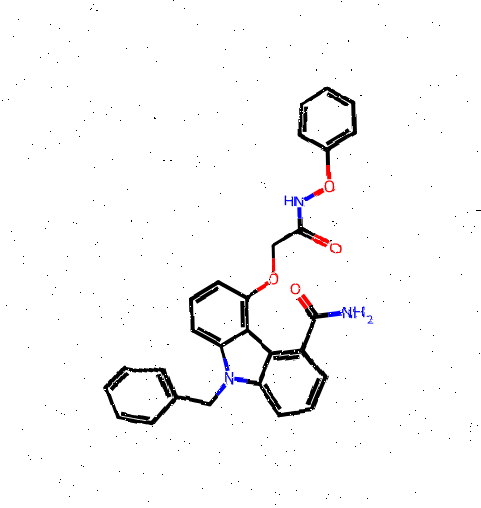 NC(=O)c1cccc2c1c1c(OCC(=O)NOc3ccccc3)cccc1n2Cc1ccccc1